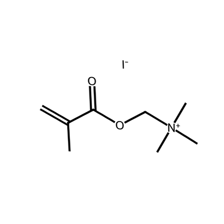 C=C(C)C(=O)OC[N+](C)(C)C.[I-]